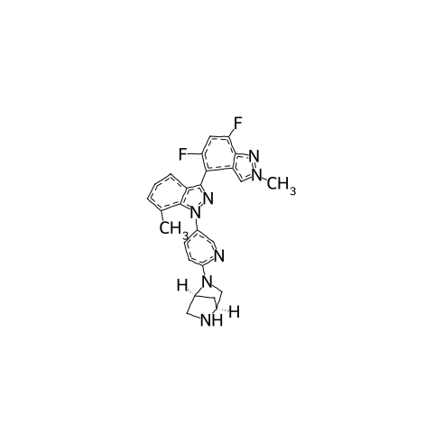 Cc1cccc2c(-c3c(F)cc(F)c4nn(C)cc34)nn(-c3ccc(N4C[C@@H]5C[C@H]4CN5)nc3)c12